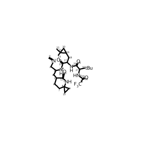 C=NCC(CC1CCC2(CC2)NC1=O)NC(=O)C(CC1CC1(C)C)NC(=O)C(NC(=O)C(F)(F)F)C(C)(C)C